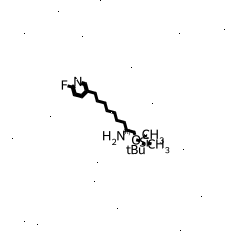 CC(C)(C)[Si](C)(C)OC[C@H](N)CCCCCCCc1ccc(F)nc1